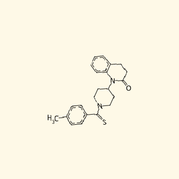 Cc1ccc(C(=S)N2CCC(N3C(=O)CCc4ccccc43)CC2)cc1